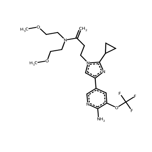 C=C(CCn1cc(-c2cnc(N)c(OC(F)(F)F)c2)nc1C1CC1)N(CCOC)CCOC